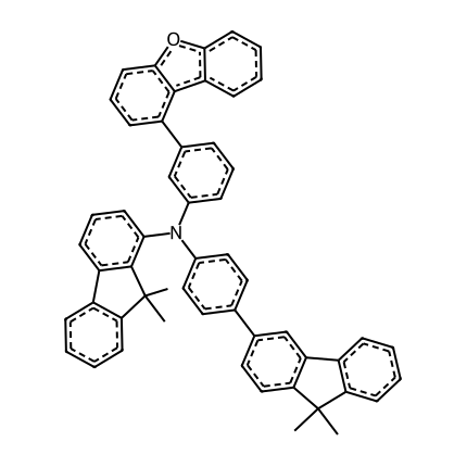 CC1(C)c2ccccc2-c2cc(-c3ccc(N(c4cccc(-c5cccc6oc7ccccc7c56)c4)c4cccc5c4C(C)(C)c4ccccc4-5)cc3)ccc21